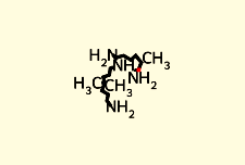 CC(CCN)CCCC(N)NCCCC(C)(C)CCCN